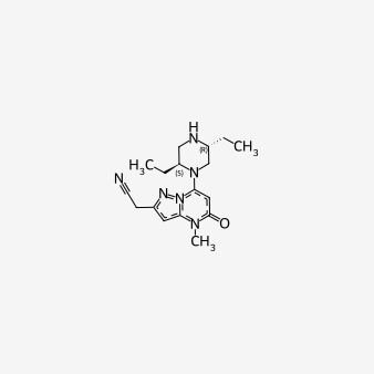 CC[C@@H]1CN(c2cc(=O)n(C)c3cc(CC#N)nn23)[C@@H](CC)CN1